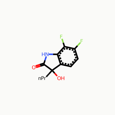 CCCC1(O)C(=O)Nc2c1ccc(F)c2F